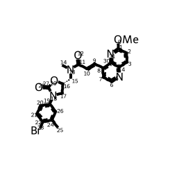 COc1ccc2nccc(/C=C/C(=O)N(C)C[C@@H]3CN(c4ccc(Br)c(C)c4)C(=O)O3)c2n1